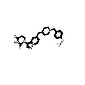 O=C1CCN(c2cnn3ccc(CC4CCN(Cc5ccc(OC(F)(F)F)cc5)CC4)cc23)C(=O)N1